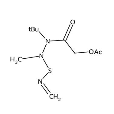 C=NSN(C)N(C(=O)COC(C)=O)C(C)(C)C